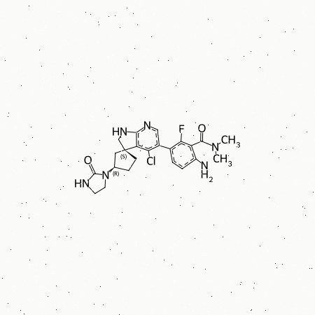 CN(C)C(=O)c1c(N)ccc(-c2cnc3c(c2Cl)[C@@]2(CC[C@@H](N4CCNC4=O)C2)CN3)c1F